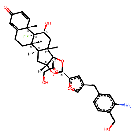 C[C@]12C=CC(=O)C=C1CC[C@H]1[C@@H]3C[C@H]4O[C@@H](c5cc(Cc6ccc(CO)c(N)c6)co5)O[C@@]4(C(=O)CO)[C@@]3(C)C[C@H](O)[C@@]12F